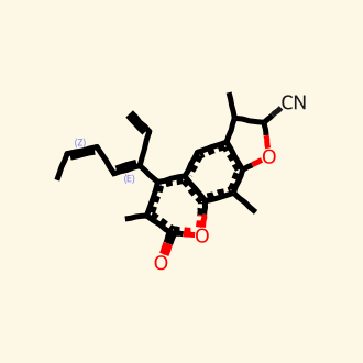 C=C/C(=C\C=C/C)c1c(C)c(=O)oc2c(C)c3c(cc12)C(C)C(C#N)O3